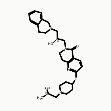 C[C@@H](O)CN1CCC(Oc2ccc3c(n2)CCN(C[C@H](O)CN2CCc4ccccc4C2)C3=O)CC1